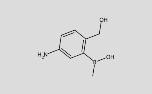 CB(O)c1cc(N)ccc1CO